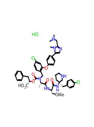 COC[C@H](NC(=O)[C@H](C)N(Cc1ccc(Cl)cc1Oc1ccc(-c2cnc(CN(C)C)n2C)cc1)C(=O)O[C@@H](Cc1ccccc1)C(=O)O)C(=O)N[C@@]1(Cc2ccc(Cl)cc2)CCCNC1.Cl